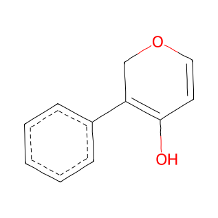 OC1=C(c2ccccc2)COC=C1